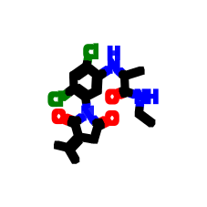 CCNC(=O)C(C)Nc1cc(N2C(=O)CC(=C(C)C)C2=O)c(Cl)cc1Cl